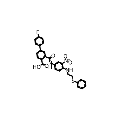 O=C(O)c1ccc(-c2ccc(F)cc2)cc1C(=O)Nc1ccc(NCCSc2ccccc2)c([N+](=O)[O-])c1